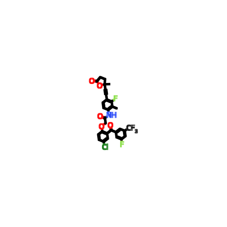 Cc1c(NC(=O)COc2ccc(Cl)cc2C(=O)c2cc(F)cc(C(F)(F)F)c2)ccc(C#CC2(C)CCC(=O)O2)c1F